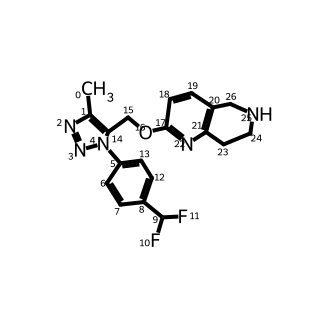 Cc1nnn(-c2ccc(C(F)F)cc2)c1COc1ccc2c(n1)CCNC2